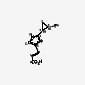 O=C(O)C=Cc1nc([C@H]2C[C@@H]2F)no1